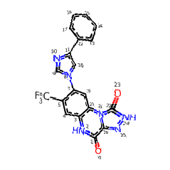 O=c1[nH]c2cc(C(F)(F)F)c(-n3cnc(-c4ccccc4)c3)cc2n2c(=O)[nH]nc12